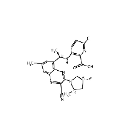 Cc1cc([C@@H](C)Nc2ccc(Cl)nc2C(=O)O)c2nc(N3C[C@H](F)C[C@@H]3C)c(C#N)nc2c1